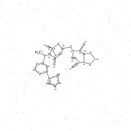 CC(c1cccc(-c2nnn[nH]2)c1)N1C(=O)C2C[C@H]1CN2CC(N)C(=O)N1CCCC1C#N